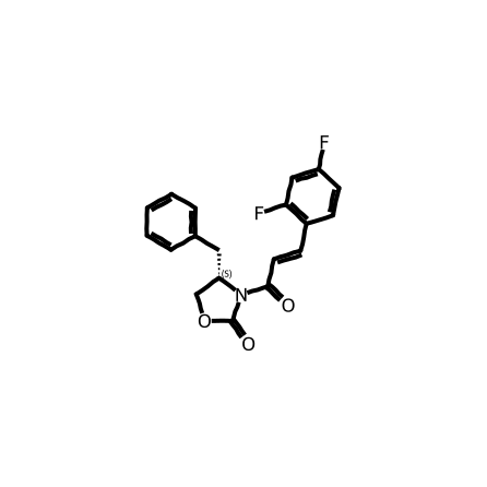 O=C(C=Cc1ccc(F)cc1F)N1C(=O)OC[C@@H]1Cc1ccccc1